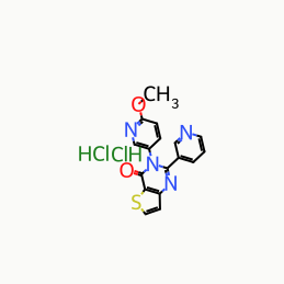 COc1ccc(-n2c(-c3cccnc3)nc3ccsc3c2=O)cn1.Cl.Cl